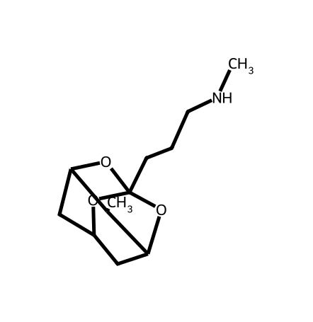 CNCCCC12OC3CC(O1)C(C)C(C3)O2